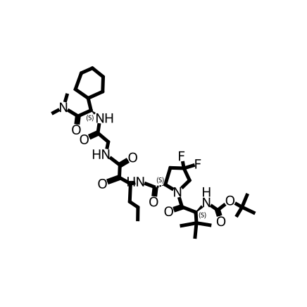 CCCC(NC(=O)[C@@H]1CC(F)(F)CN1C(=O)[C@@H](NC(=O)OC(C)(C)C)C(C)(C)C)C(=O)C(=O)NCC(=O)N[C@H](C(=O)N(C)C)C1CCCCC1